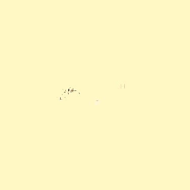 CCCCCCCC/C=C\CCCCCCCC(=O)[P-]C(CO)[N+](C)(C)C